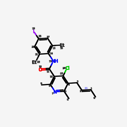 C/C=C/Cc1c(C)nc(C)c(C(=O)Nc2c(CC)cc(I)cc2CC)c1Cl